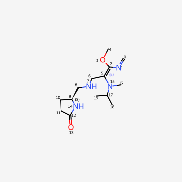 C=N/C(OC)=C(/CNC[C@@H]1CCC(=O)N1)N(C)C(C)C